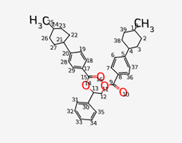 CC1CCC(c2ccc(C(=O)OCC(OC(=O)c3ccc(C4CCC(C)CC4)cc3)c3ccccc3)cc2)CC1